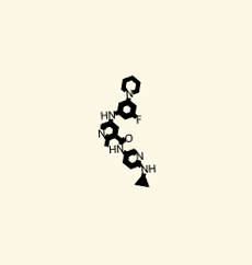 Cc1ncc(Nc2cc(F)cc(N3CCCCC3)c2)cc1C(=O)Nc1ccc(NC2CC2)nc1